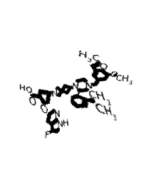 COc1cc(CN2CCN(C3CC4(C3)CN(c3ccc(C(=O)O)c(Oc5cnc6[nH]cc(F)c6c5)c3)C4)[C@H](c3ccccc3C(C)C)C2)cc2cc(C)oc12